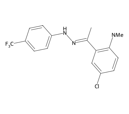 CNc1ccc(Cl)cc1/C(C)=N/Nc1ccc(C(F)(F)F)cc1